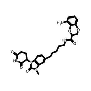 Cn1c(=O)n(C2CCC(=O)NC2=O)c2ccc(CCCCCNC(=O)C3COc4cccc(N)c4O3)cc21